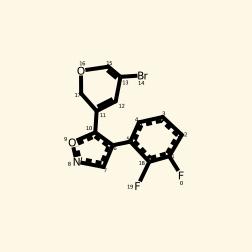 Fc1cccc(-c2cnoc2C2=CC(Br)=COC2)c1F